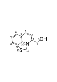 OCC1C=Cc2cccc3c2N1CS3